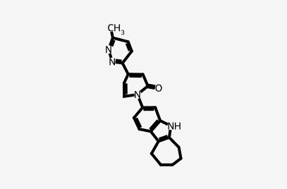 Cc1ccc(-c2ccn(-c3ccc4c5c([nH]c4c3)CCCCC5)c(=O)c2)nn1